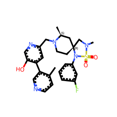 Cc1ccncc1-c1cc(CN2CC[C@@]3(C[C@@H]2C)CN(C)S(=O)(=O)N3c2cccc(F)c2)ncc1O